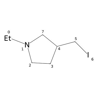 CCN1CCC(CI)C1